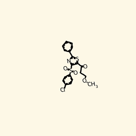 COCCC(=O)c1sc(-c2ccccc2)nc1S(=O)(=O)c1ccc(Cl)cc1